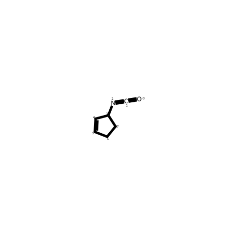 O=C=NC1C=CCC1